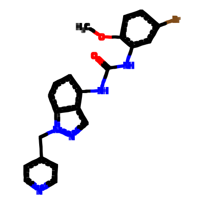 COc1ccc(Br)cc1NC(=O)Nc1cccc2c1cnn2Cc1ccncc1